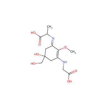 COC1=C(NCC(=O)O)CC(O)(CO)C/C1=N\C(C)C(=O)O